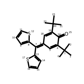 CC(C)(C)C1=CC(=C(c2cccs2)c2cccs2)C=C(C(C)(C)C)C1=O